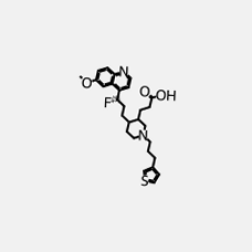 COc1ccc2nccc([C@@H](F)CCC3CCN(CCCc4ccsc4)CC3CCC(=O)O)c2c1